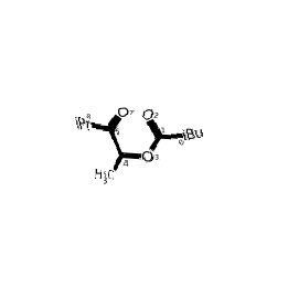 CCC(C)C(=O)OC(C)C(=O)C(C)C